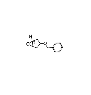 c1ccc(COC2CC3O[C@H]3C2)cc1